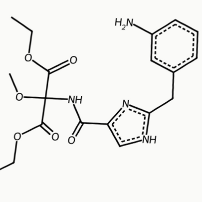 CCOC(=O)C(NC(=O)c1c[nH]c(Cc2cccc(N)c2)n1)(OC)C(=O)OCC